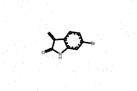 C=C1C(=O)Nc2cc(Br)ccc21